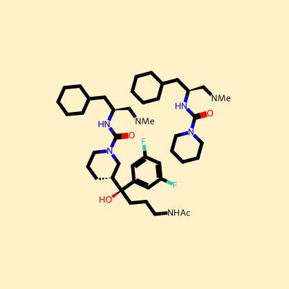 CNC[C@H](CC1CCCCC1)NC(=O)N1CCCCC1.CNC[C@H](CC1CCCCC1)NC(=O)N1CCC[C@@H]([C@@](O)(CCCNC(C)=O)c2cc(F)cc(F)c2)C1